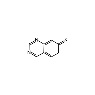 S=C1C=c2ncncc2=CC1